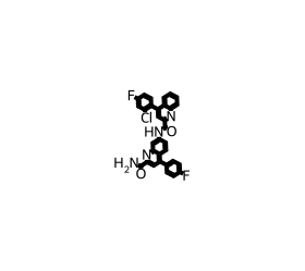 NC(=O)c1cc(-c2ccc(F)cc2)c2ccc(NC(=O)c3cc(-c4ccc(F)cc4Cl)c4ccccc4n3)cc2n1